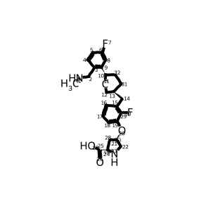 CNCc1ccc(F)cc1[C@H]1CC[C@H](Cc2cccc(O[C@@H]3CN[C@H](C(=O)O)C3)c2F)CC1